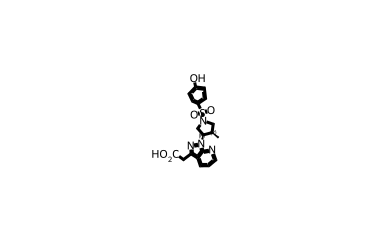 C[C@@H]1CN(S(=O)(=O)c2ccc(O)cc2)C[C@@H]1n1nc(CC(=O)O)c2cccnc21